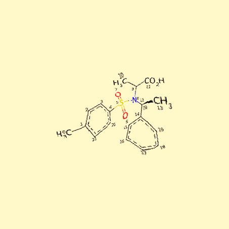 Cc1ccc(S(=O)(=O)N(C(C)C(=O)O)[C@@H](C)c2ccccc2)cc1